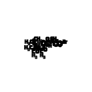 C=CC(C)(C)CN[C@H](C(=O)N[C@@H](C)C(=O)N1CCC[C@@H](C(=O)NN(C)c2ccc3ccc(Br)cc3n2)N1)C(C)C